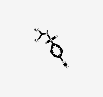 [C-]#[N+]c1ccc(S(=O)(=O)NC(C)C)cc1